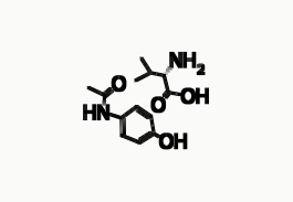 CC(=O)Nc1ccc(O)cc1.CC(C)[C@H](N)C(=O)O